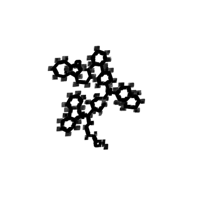 C=C/C=C\C=C(\c1ccc(N(c2ccc(-c3ccccc3C3CC=Cc4c3oc3c4CC=CC=C3)cc2)c2ccc3ccccc3c2)cc1)n1c2ccccc2c2ccccc21